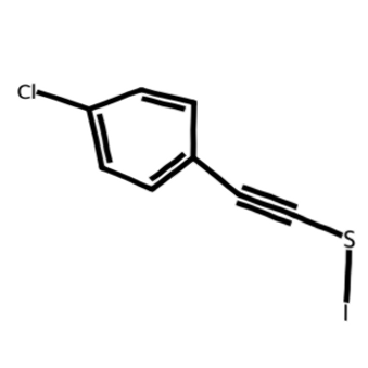 Clc1ccc(C#CSI)cc1